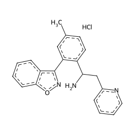 Cc1ccc(C(N)Cc2ccccn2)c(-c2noc3ccccc23)c1.Cl